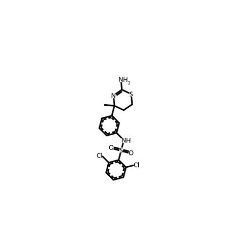 CC1(c2cccc(NS(=O)(=O)c3c(Cl)cccc3Cl)c2)CCSC(N)=N1